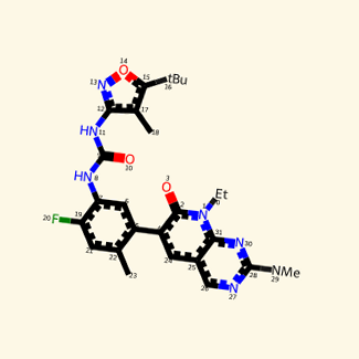 CCn1c(=O)c(-c2cc(NC(=O)Nc3noc(C(C)(C)C)c3C)c(F)cc2C)cc2cnc(NC)nc21